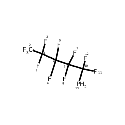 FC(F)(F)C(F)(F)C(F)(F)C(F)(F)C(F)(F)P